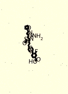 Nc1nc2c(sc(=O)n2CCN2CCN(c3ccc(C(=O)O)cc3F)CC2)c2cc(-c3ccco3)nn12